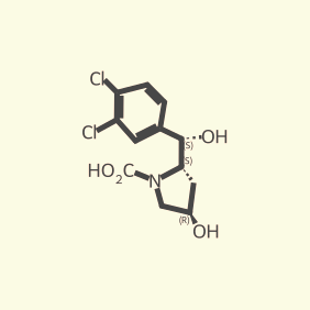 O=C(O)N1C[C@H](O)C[C@H]1[C@@H](O)c1ccc(Cl)c(Cl)c1